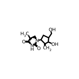 C=C1C(O)C(CO)CC1n1cc(C)c(=O)[nH]c1=O